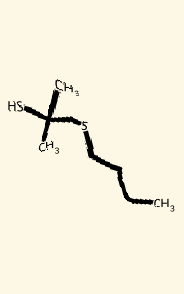 CCCCSC(C)(C)S